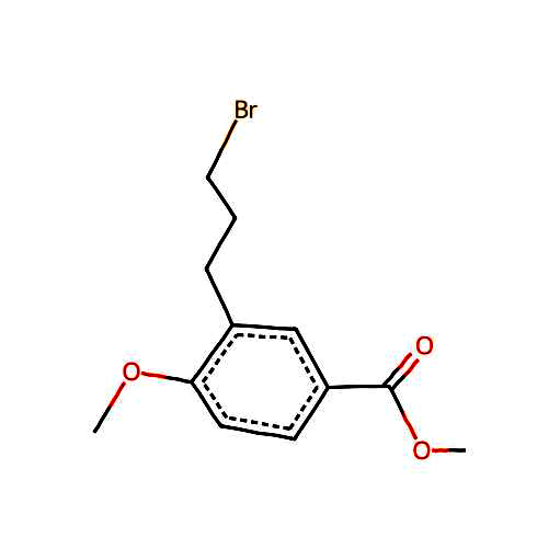 COC(=O)c1ccc(OC)c(CCCBr)c1